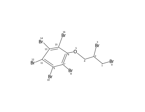 BrCC(Br)COc1c(Br)c(Br)c(Br)c(Br)c1Br